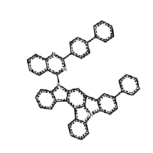 c1ccc(-c2ccc(-c3nc(-n4c5ccccc5c5c6c7ccccc7n7c8ccc(-c9ccccc9)cc8c(cc54)c67)c4ccccc4n3)cc2)cc1